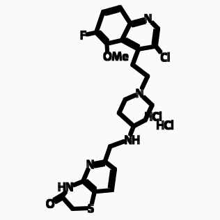 COc1c(F)ccc2ncc(Cl)c(CCN3CCC(NCc4ccc5c(n4)NC(=O)CS5)CC3)c12.Cl.Cl